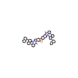 CC(C)c1cccc(-c2ccccc2)c1N(c1ccc(-c2cccc3ccccc23)cc1)c1ccc2cc3c(cc2c1)oc1cc2cc(N(c4ccc(-c5cccc6ccccc56)cc4)c4c(-c5ccccc5)cccc4C(C)C)ccc2cc13